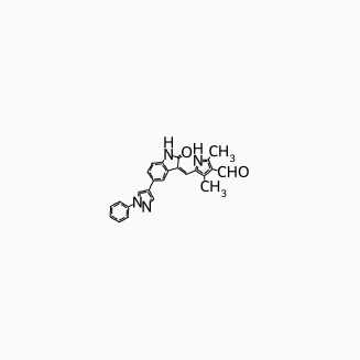 Cc1[nH]c(/C=C2\C(=O)Nc3ccc(-c4cnn(-c5ccccc5)c4)cc32)c(C)c1C=O